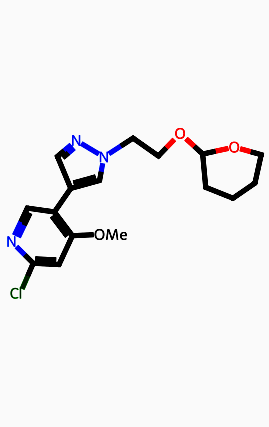 COc1cc(Cl)ncc1-c1cnn(CCOC2CCCCO2)c1